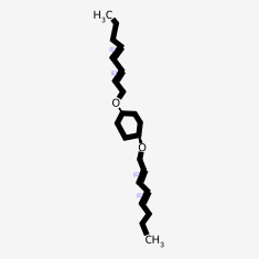 CCC/C=C/C=C/CO[C@H]1CC[C@H](OC/C=C/C=C/CCC)CC1